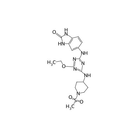 CCOc1nc(Nc2ccc3[nH]c(=O)[nH]c3c2)nc(NC2CCN(S(C)(=O)=O)CC2)n1